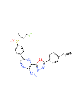 CNCc1ccc(-c2nnc(-c3nc(-c4ccc([S+]([O-])C(C)CCF)cc4)cnc3N)o2)cc1